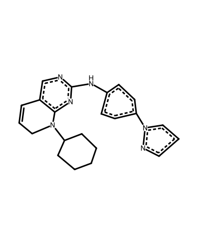 C1=Cc2cnc(Nc3ccc(-n4cccn4)cc3)nc2N(C2CCCCC2)C1